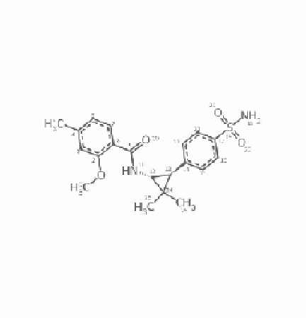 COc1cc(C)ccc1C(=O)N[C@@H]1[C@@H](c2ccc(S(N)(=O)=O)cc2)C1(C)C